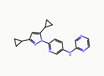 c1cnc(Nc2ccc(-n3nc(C4CC4)cc3C3CC3)nc2)cn1